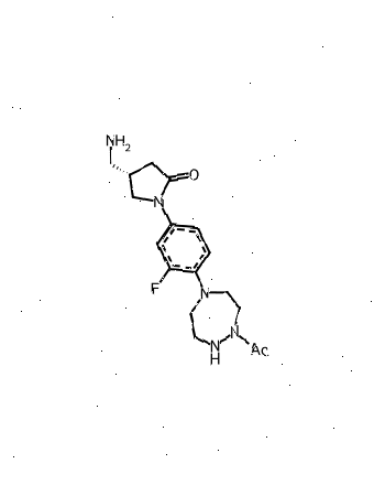 CC(=O)N1CCN(c2ccc(N3C[C@H](CN)CC3=O)cc2F)CCN1